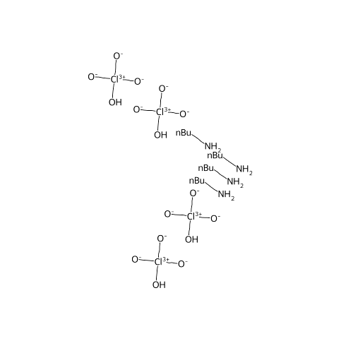 CCCCN.CCCCN.CCCCN.CCCCN.[O-][Cl+3]([O-])([O-])O.[O-][Cl+3]([O-])([O-])O.[O-][Cl+3]([O-])([O-])O.[O-][Cl+3]([O-])([O-])O